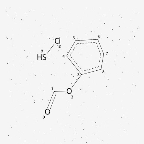 O=COc1ccccc1.SCl